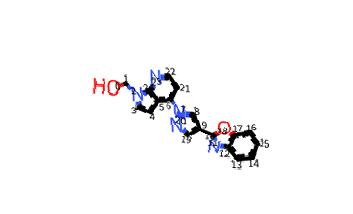 OCn1ccc2c(-n3cc(-c4nc5ccccc5o4)cn3)ccnc21